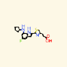 O=C(O)CCC1CSC(c2cc3cc(F)cc(NC4CCCC4)c3[nH]2)=N1